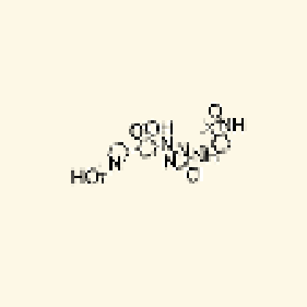 CC(C)(O)CN1CCCC(c2ccc(Nc3ncc(Cl)c(NCc4cccc5c4C(C)(C)C(=O)N5)n3)c3c2OCO3)C1